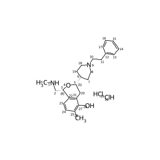 CNC[C@@H]1O[C@H](C2CCN(CCc3ccccc3)CC2)Cc2c1ccc(C)c2O.Cl.Cl